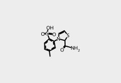 Cc1ccc(S(=O)(=O)O)c(N2C=CSC2C(N)=O)c1